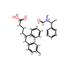 CC(c1ccccc1)N(C)C=O.Cc1ccc(CC(CCCC(=O)O)c2ccccc2)cc1